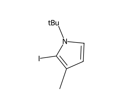 Cc1ccn(C(C)(C)C)c1I